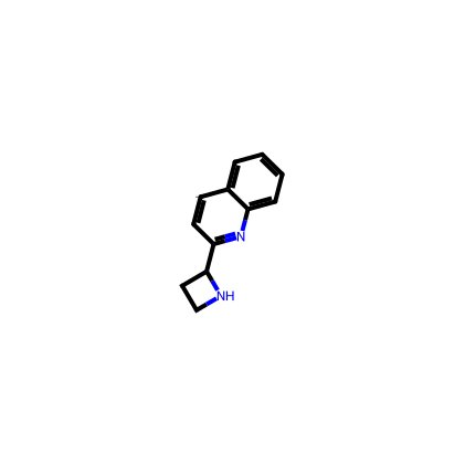 [c]1cc(C2CCN2)nc2ccccc12